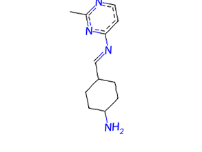 Cc1nccc(N=CC2CCC(N)CC2)n1